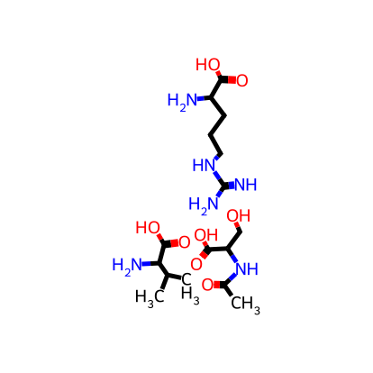 CC(=O)NC(CO)C(=O)O.CC(C)C(N)C(=O)O.N=C(N)NCCCC(N)C(=O)O